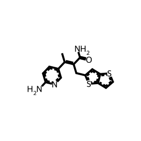 CC(=C(Cc1cc2sccc2s1)C(N)=O)c1ccc(N)nc1